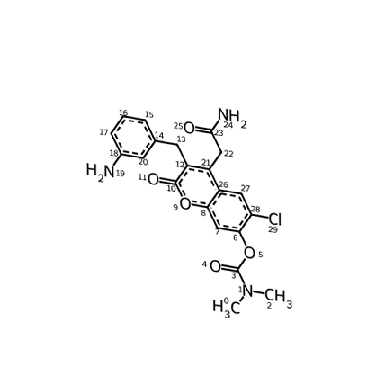 CN(C)C(=O)Oc1cc2oc(=O)c(Cc3cccc(N)c3)c(CC(N)=O)c2cc1Cl